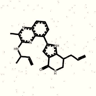 C=CCC1CNC(=O)c2cc(-c3cccc4nc(C)c(NC(C)C=C)nc34)[nH]c21